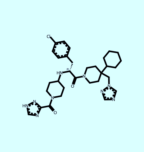 O=C(c1nc[nH]n1)N1CCC(N[C@H](Cc2ccc(Cl)cc2)C(=O)N2CCC(Cn3cncn3)(C3CCCCC3)CC2)CC1